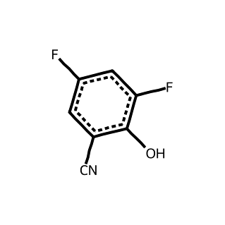 N#Cc1cc(F)cc(F)c1O